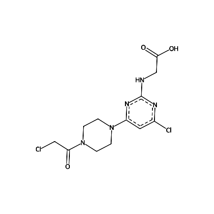 O=C(O)CNc1nc(Cl)cc(N2CCN(C(=O)CCl)CC2)n1